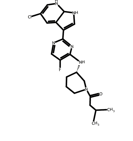 CC(C)CC(=O)N1CCC[C@H](Nc2nc(C3=CNC4NC=C(Cl)C=C34)ncc2F)C1